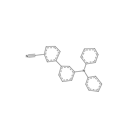 N#Cc1cccc(-c2cccc(N(c3ccccc3)c3ccccc3)c2)c1